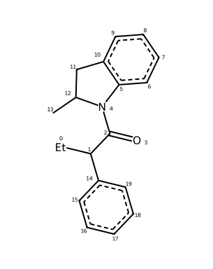 CCC(C(=O)N1c2ccccc2CC1C)c1ccccc1